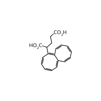 O=C(O)CCC(C(=O)O)c1cccccc2ccccccc1-2